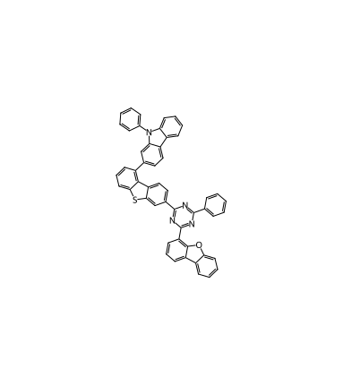 c1ccc(-c2nc(-c3ccc4c(c3)sc3cccc(-c5ccc6c7ccccc7n(-c7ccccc7)c6c5)c34)nc(-c3cccc4c3oc3ccccc34)n2)cc1